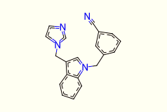 N#Cc1cccc(Cn2cc(Cn3ccnc3)c3ccccc32)c1